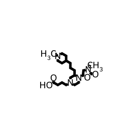 CN1CCC(CCCC2CN(CCCC(=O)O)CCN2C2CN(C)C(=O)O2)CC1